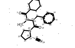 CN(C(=O)C1CCCCC1)[C@@H](Cc1ccccc1)C(=O)N1CCC[C@H]1C#N